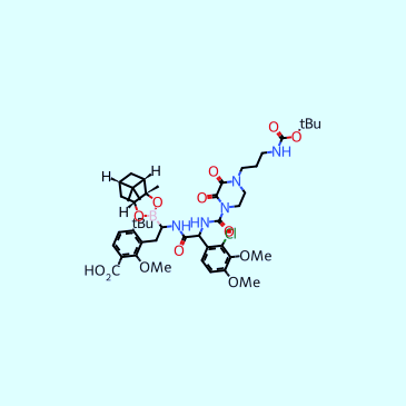 COc1ccc(C(NC(=O)N2CCN(CCCNC(=O)OC(C)(C)C)C(=O)C2=O)C(=O)NC(Cc2c(C(C)(C)C)ccc(C(=O)O)c2OC)B2O[C@@H]3C[C@@H]4C[C@@H](C4(C)C)[C@]3(C)O2)c(Cl)c1OC